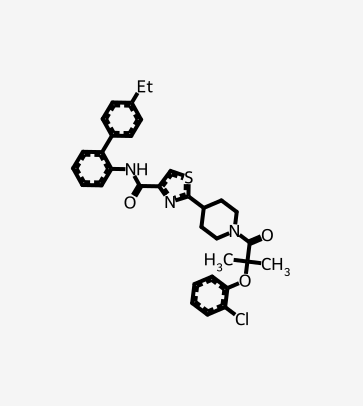 CCc1ccc(-c2ccccc2NC(=O)c2csc(C3CCN(C(=O)C(C)(C)Oc4ccccc4Cl)CC3)n2)cc1